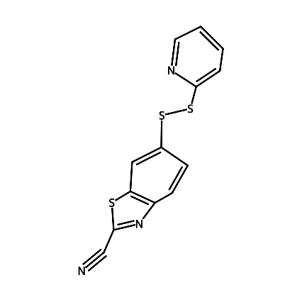 N#Cc1nc2ccc(SSc3ccccn3)cc2s1